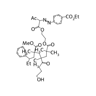 CCOC(=O)c1ccc(N=NC(C(C)=O)C(=O)OCCOC(=O)C(C)(C)CC(C)(CC(C)(CC(CC)c2ccccc2)C(=O)OC)C(=O)CCCO)cc1